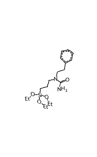 CCO[Si](CCCN(CCc1ccccc1)C(N)=O)(OCC)OCC